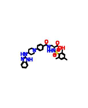 Cc1cc(C)c(S(=O)(=O)N[C@@H](CNC(=O)c2ccc(N3CCC(Nc4nc5ccccc5[nH]4)CC3)cc2)C(=O)O)c(C)c1